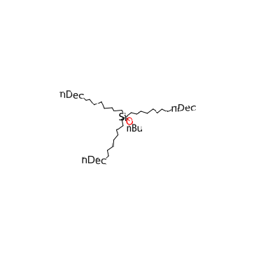 CCCCCCCCCCCCCCCCCC[Si](CCCCCCCCCCCCCCCCCC)(CCCCCCCCCCCCCCCCCC)OCCCC